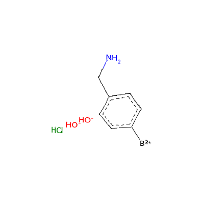 Cl.[B+2]c1ccc(CN)cc1.[OH-].[OH-]